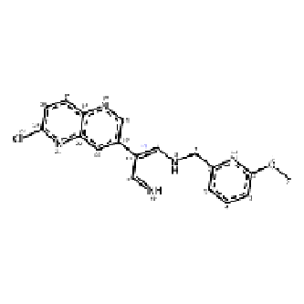 COc1cccc(CN/C=C(\C=N)c2cnc3ccc(Cl)nc3c2)n1